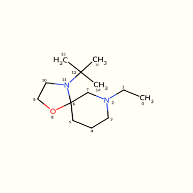 CCN1CCCC2(C1)OCCN2C(C)(C)C